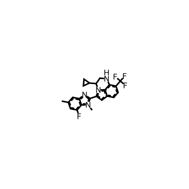 Cc1cc(F)c2c(c1)nc(-c1cc3ccc(C(F)(F)F)c4c3n1C(C1CC1)CN4)n2C